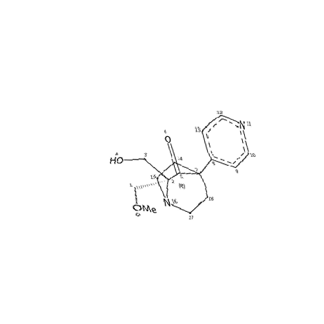 COC[C@]1(CO)C(=O)C2(c3ccncc3)CCN1CC2